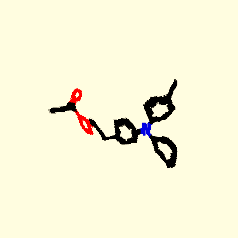 CC(=O)OCCc1ccc(N(c2ccccc2)c2ccc(C)cc2)cc1